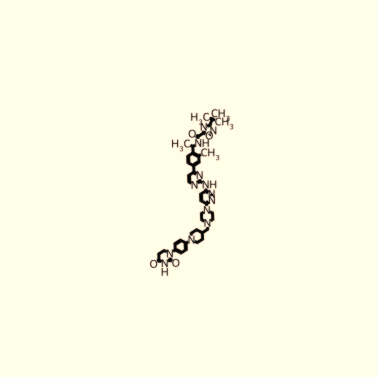 Cc1cc(-c2ccnc(Nc3ccc(N4CCN(CC5CCN(c6ccc(N7CCC(=O)NC7=O)cc6)CC5)CC4)nn3)n2)ccc1C(C)NC(=O)c1nc(C(C)(C)C)no1